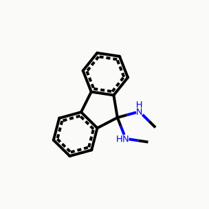 CNC1(NC)c2ccccc2-c2ccccc21